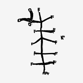 CCCC(F)(F)C(F)(F)C(F)(F)C(F)(F)C(F)(F)S(=O)(=O)[O-].[K+]